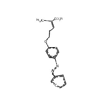 CC(=CCCOc1ccc(N=Nc2ccccc2)cc1)C(=O)O